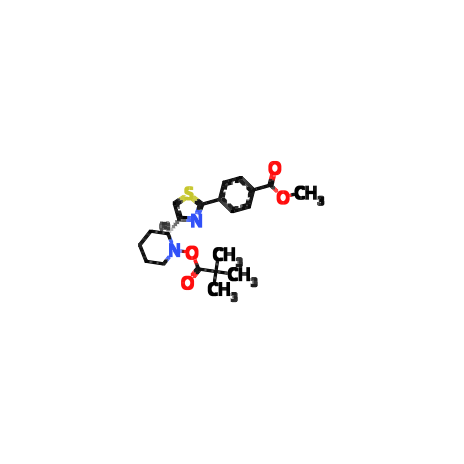 COC(=O)c1ccc(-c2nc([C@H]3CCCCN3OC(=O)C(C)(C)C)cs2)cc1